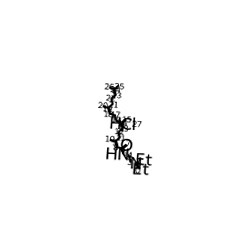 CCN(CC)CCNC(=O)C=C(C)CCC=C(C)CCC=C(C)CCC=C(C)C.Cl